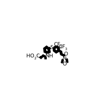 CC(CCC(=O)O)Nc1cccc(Sc2ccc(C=CC(=O)N3CCOCC3)c(C(F)(F)F)c2C(F)(F)F)c1